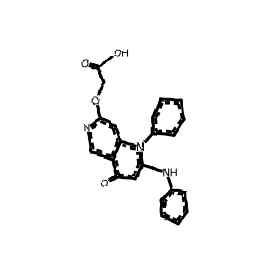 O=C(O)COc1cc2c(cn1)c(=O)cc(Nc1ccccc1)n2-c1ccccc1